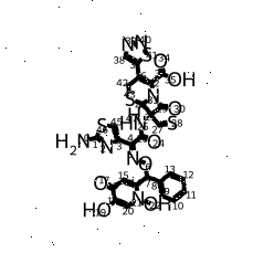 Nc1nc(/C(=N/OC(c2ccccc2)c2cc(=O)c(O)cn2O)C(=O)N[C@@]2(C=S)C(=O)N3C(C(=O)O)=C(c4cnns4)CS[C@@H]32)cs1